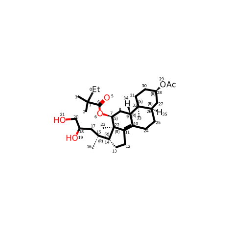 CCC(C)(C)C(=O)O[C@H]1C[C@H]2C(=C3CC[C@H]([C@H](C)CC(O)CO)[C@]31C)CC[C@@H]1C[C@H](OC(C)=O)CC[C@@]12C